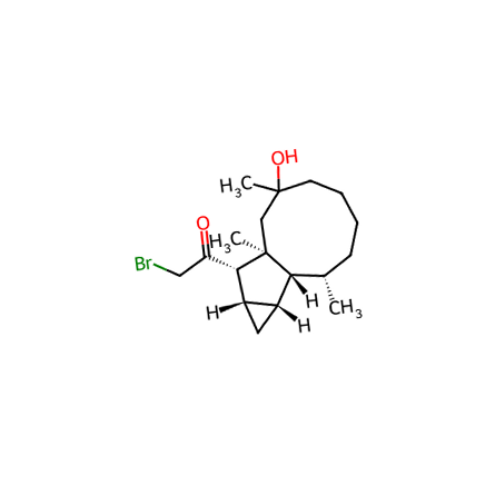 C[C@H]1CCCCC(C)(O)C[C@@]2(C)[C@H]1[C@@H]1C[C@@H]1[C@@H]2C(=O)CBr